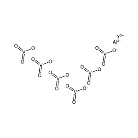 [Al+3].[O]=[V](=[O])[O-].[O]=[V](=[O])[O-].[O]=[V](=[O])[O-].[O]=[V](=[O])[O-].[O]=[V](=[O])[O-].[O]=[V](=[O])[O-].[Y+3]